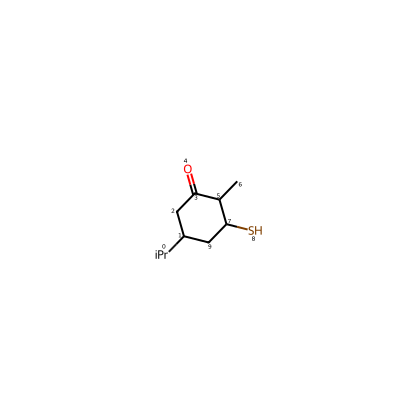 CC(C)C1CC(=O)C(C)C(S)C1